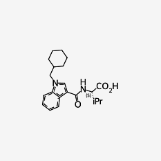 CC(C)[C@H](NC(=O)c1cn(CC2CCCCC2)c2ccccc12)C(=O)O